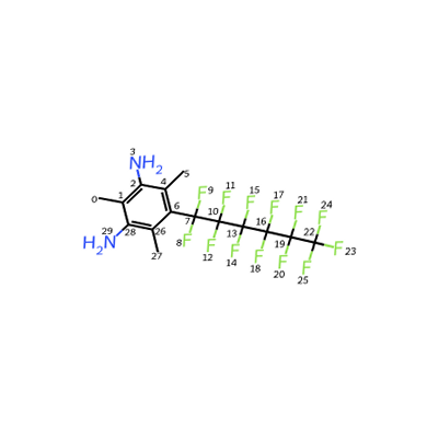 Cc1c(N)c(C)c(C(F)(F)C(F)(F)C(F)(F)C(F)(F)C(F)(F)C(F)(F)F)c(C)c1N